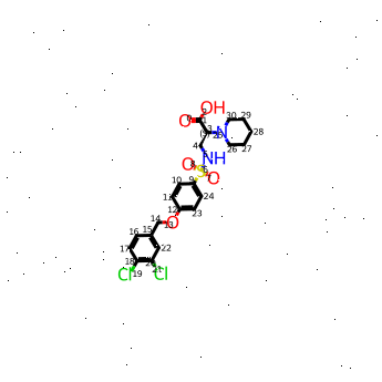 O=C(O)[C@H](CNS(=O)(=O)c1ccc(OCc2ccc(Cl)c(Cl)c2)cc1)N1CCCCC1